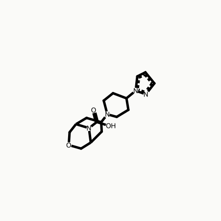 O=C(O)N1C2COCC1CC(N1CCC(n3cccn3)CC1)C2